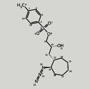 Cc1ccc(S(=O)(=O)OC[C@H](O)C[C@@H]2CCCCC[C@H]2N=[N+]=[N-])cc1